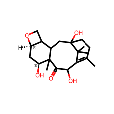 CC1=C2C(O)C(=O)C3(C)C(CC(O)(CC1)C2(C)C)C1CO[C@@H]1C[C@@H]3O